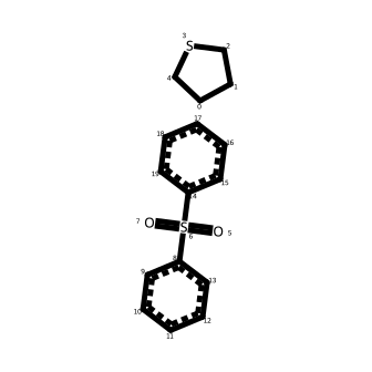 C1CCSC1.O=S(=O)(c1ccccc1)c1ccccc1